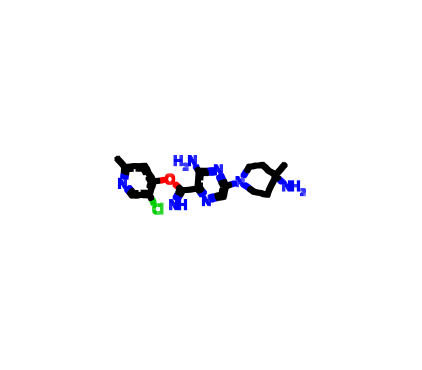 Cc1cc(OC(=N)c2ncc(N3CCC(C)(N)CC3)nc2N)c(Cl)cn1